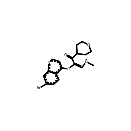 CN(C)/C=C(/Oc1ccnc2cc(Br)ccc12)C(=O)C1CCOCC1